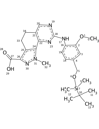 COc1cc(CO[Si](C)(C)C(C)(C)C)ccc1Nc1ncc2c(n1)-c1c(c(C(=O)O)nn1C)CC2